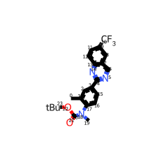 Cc1cc(-c2ncc3cc(C(F)(F)F)ccc3n2)ccc1N(C)C(=O)OC(C)(C)C